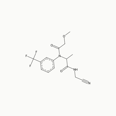 COCC(=O)N(c1cccc(C(F)(F)F)c1)C(C)C(=O)NCC#N